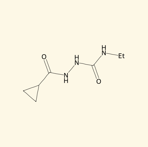 CCNC(=O)NNC(=O)C1CC1